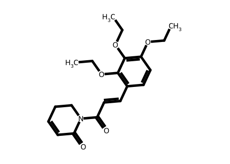 CCOc1ccc(C=CC(=O)N2CCC=CC2=O)c(OCC)c1OCC